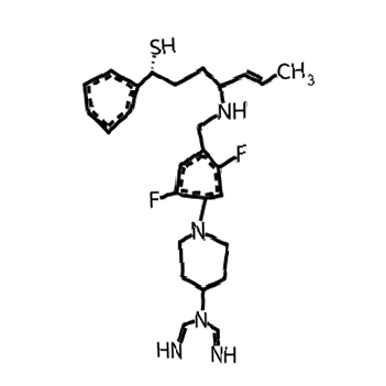 C/C=C/C(CC[C@@H](S)c1ccccc1)NCc1cc(F)c(N2CCC(N(C=N)C=N)CC2)cc1F